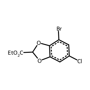 CCOC(=O)C1Oc2cc(Cl)cc(Br)c2O1